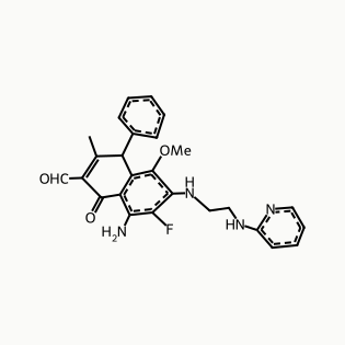 COc1c(NCCNc2ccccn2)c(F)c(N)c2c1C(c1ccccc1)C(C)=C(C=O)C2=O